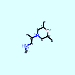 CC(C)NCC(C)N1CC(C)OC(C)C1